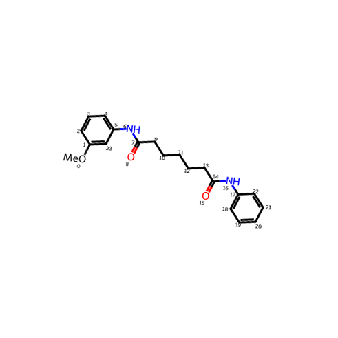 COc1cccc(NC(=O)CCCCCC(=O)Nc2ccccc2)c1